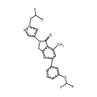 Cc1cc(-c2cncc(OC(F)F)c2)nc2c1C(=O)N(c1cnn(CC(F)F)c1)C2